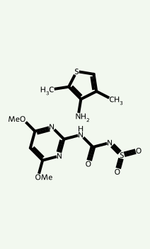 COc1cc(OC)nc(NC(=O)N=S(=O)=O)n1.Cc1csc(C)c1N